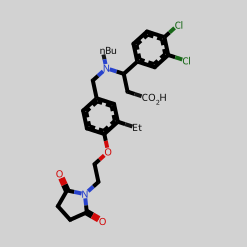 CCCCN(Cc1ccc(OCCN2C(=O)CCC2=O)c(CC)c1)C(CC(=O)O)c1ccc(Cl)c(Cl)c1